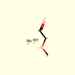 COCC=O.[KH].[Nb]